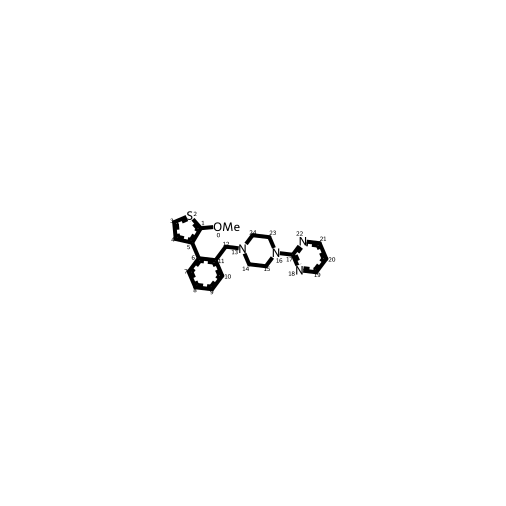 COc1sccc1-c1ccccc1CN1CCN(c2ncccn2)CC1